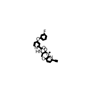 C#Cc1ccc2c(n1)N(C)C(=O)[C@@H](NC(=O)c1cc(Oc3cccc(F)c3)ccn1)CO2